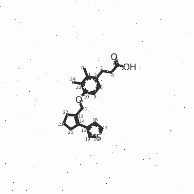 Cc1c(CCC(=O)O)ccc(OCC2=C(c3ccsc3)CCC2)c1C